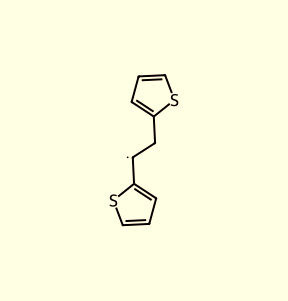 [CH](Cc1cccs1)c1cccs1